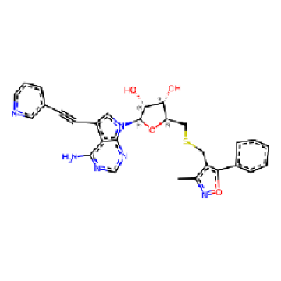 Cc1noc(-c2ccccc2)c1CSC[C@H]1O[C@@H](n2cc(C#Cc3cccnc3)c3c(N)ncnc32)[C@H](O)[C@@H]1O